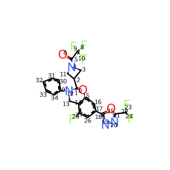 O=C(C1CN(C(=O)C(F)(F)F)C1)N(Cc1ccc(-c2nnc(C(F)F)o2)cc1F)c1ccccc1